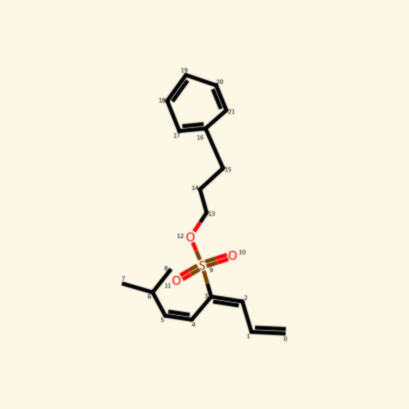 C=C/C=C(\C=C/C(C)C)S(=O)(=O)OCCCc1ccccc1